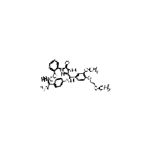 COCCOc1ccc(C(Nc2ccc(C(=N)N)cc2)c2nn(-c3ccccc3OC)c(=O)[nH]2)cc1OC